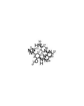 CCOc1cc(-c2nncn2C)ccc1Nc1ncc2cc(C)nc(N3CCC(NC)CC3)c2n1